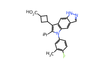 Cc1cc(-n2c(C(C)C)c(C3CC(C(=O)O)C3)c3cc4[nH]ncc4cc32)ccc1F